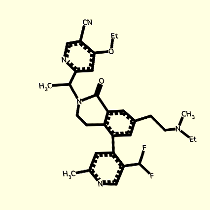 CCOc1cc(C(C)N2CCc3c(cc(CCN(C)CC)cc3-c3cc(C)ncc3C(F)F)C2=O)ncc1C#N